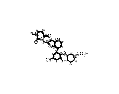 Cc1cc(Cl)cc(-c2ccnc3cc(Cn4c(=O)ccn(C)c4=O)sc23)c1O[C@H]1CCCN(C(=O)O)C1